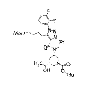 COCCCCc1c(C(=O)N(CC(C)C)[C@H]2C[C@@H](C(C)O)CN(C(=O)OC(C)(C)C)C2)nnn1-c1cccc(F)c1F